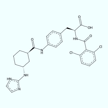 O=C(N[C@@H](Cc1ccc(NC(=O)[C@@H]2CCC[C@@H](Nc3ncc[nH]3)C2)cc1)C(=O)O)c1c(Cl)cccc1Cl